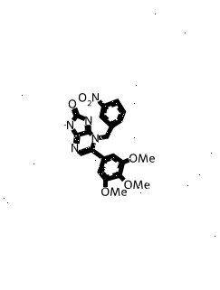 COc1cc(C2=CN=C3[N]C(=O)N=C3N2Cc2cccc([N+](=O)[O-])c2)cc(OC)c1OC